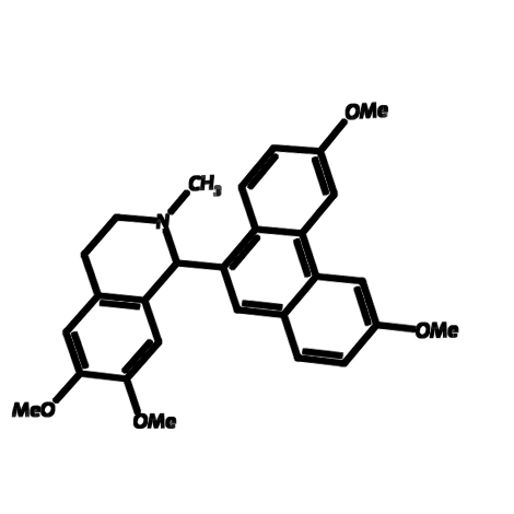 COc1ccc2cc(C3c4cc(OC)c(OC)cc4CCN3C)c3ccc(OC)cc3c2c1